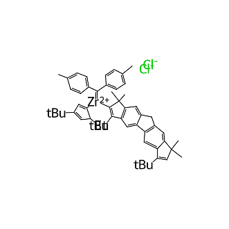 CCC1C=C(C(C)(C)C)C=[C]1[Zr+2]([C]1=C(C(C)(C)C)c2cc3c(cc2C1(C)C)Cc1cc2c(cc1-3)C(C(C)(C)C)=CC2(C)C)=[C](c1ccc(C)cc1)c1ccc(C)cc1.[Cl-].[Cl-]